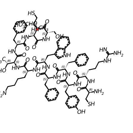 C[C@@H](O)[C@H](NC(=O)[C@H](Cc1ccccc1)NC(=O)[C@@H](NC(=O)[C@H](CCCCN)NC(=O)[C@@H](Cc1c[nH]c2ccccc12)NC(=O)[C@H](Cc1ccccc1)NC(=O)[C@H](Cc1ccccc1)NC(=O)[C@H](Cc1ccc(O)cc1)NC(=O)[C@H](CCCNC(=N)N)NC(=O)[C@@H](N)CS)[C@@H](C)O)C(=O)N[C@@H](CO)C(=O)N[C@@H](CS)C(=O)O